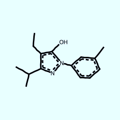 CCc1c(C(C)C)nn(-c2cccc(C)c2)c1O